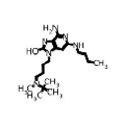 CCCCNc1cc2c(nc(O)n2CCCCN(C)C(C)(C)C)c(N)n1